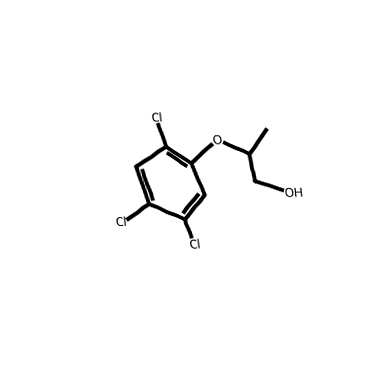 CC(CO)Oc1cc(Cl)c(Cl)cc1Cl